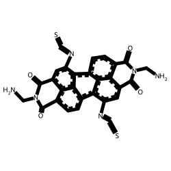 NCN1C(=O)c2ccc3c4c(N=C=S)cc5c6c(ccc(c7c(N=C=S)cc(c2c37)C1=O)c64)C(=O)N(CN)C5=O